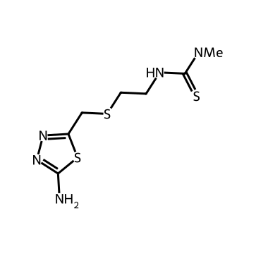 CNC(=S)NCCSCc1nnc(N)s1